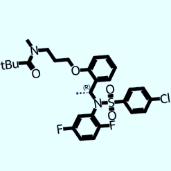 C[C@H](c1ccccc1OCCCN(C)C(=O)C(C)(C)C)N(c1cc(F)ccc1F)S(=O)(=O)c1ccc(Cl)cc1